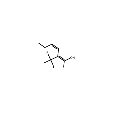 CC/C=C\C(=C(/O)F)C(C)(F)F